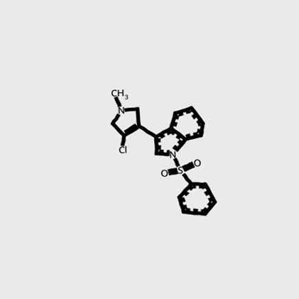 CN1CC(Cl)=C(c2cn(S(=O)(=O)c3ccccc3)c3ccccc23)C1